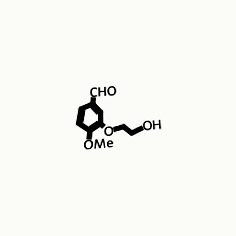 COc1ccc(C=O)cc1OCCO